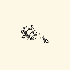 O=NCCCC(=O)Oc1c(F)c(F)c(F)c(F)c1F